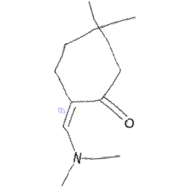 CN(C)/C=C1/CCC(C)(C)CC1=O